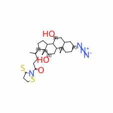 CC(CCC(=O)N1SCCC1=S)[C@H]1CCC2C3C(C[C@H](O)[C@@]21C)[C@@]1(C)CC[C@@H](N=[N+]=[N-])CC1C[C@H]3O